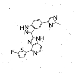 Cc1ncc(-c2ccc3[nH]nc(-c4nc5c(-c6ccc(F)s6)nccc5[nH]4)c3c2)n1C